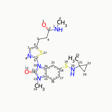 CNC(=O)CCc1cnc(-n2c(=O)n(C)c3ccc(SNC4(C)CC4)cc32)s1